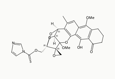 COc1c2c(c(O)c3c4c(c(C)cc13)[C@@H]1O[C@]3(COC(=S)n5ccnc5)O[C@@H]1C(OC)(O4)[C@@]31CO1)C(=O)CCC2